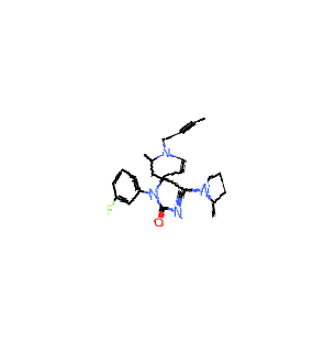 CC#CCN1CCC2(CC1C)C(N1CCCC1C)=NC(=O)N2c1cccc(F)c1